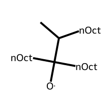 CCCCCCCCC(C)C([O])(CCCCCCCC)CCCCCCCC